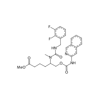 COC(=O)CCCC(COC(=O)Nc1cc2ccccc2cn1)N(C)C(=O)NCc1cccc(F)c1F